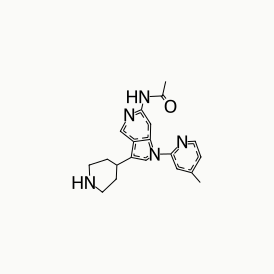 CC(=O)Nc1cc2c(cn1)c(C1CCNCC1)cn2-c1cc(C)ccn1